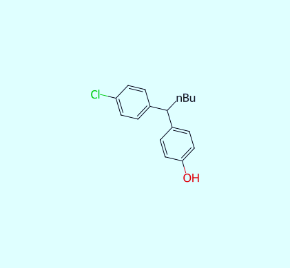 CCCCC(c1ccc(O)cc1)c1ccc(Cl)cc1